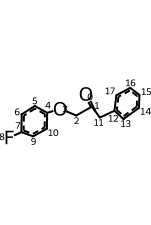 O=C(COc1ccc(F)cc1)Cc1ccccc1